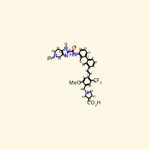 COc1cc(/C=C/c2cccc(-c3cccc(NC(=O)c4nc5c(n4C)CCN(C(C)C)C5)c3C)c2C)c(C(F)(F)F)cc1CN1CCC(C(=O)O)C1